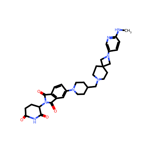 CNc1ccc(N2CC3(CCN(CC4CCN(c5ccc6c(c5)C(=O)N(C5CCC(=O)NC5=O)C6=O)CC4)CC3)C2)cn1